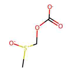 C[S+]([O-])COC([O])=O